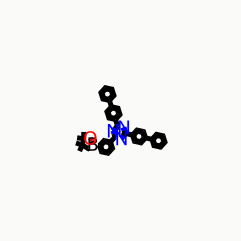 CC1(C)CB(c2cccc(-c3nc(-c4ccc(-c5ccccc5)cc4)nc(-c4ccc(-c5ccccc5)cc4)n3)c2)OC1(C)C